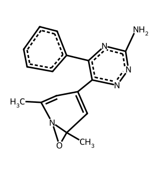 CC1=CC(c2nnc(N)nc2-c2ccccc2)=CC2(C)ON12